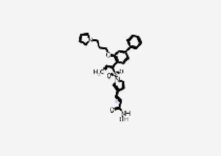 C=CC(c1ccc(-c2ccccc2)cc1OCCCN1CCCC1)S(=O)(=O)n1ccc(/C=C/C(=O)NO)c1